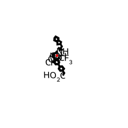 CN(C[C@H](O)CNC(C)(C)CC1Cc2ccccc2C1)S(=O)(=O)c1c(Cl)cc(-c2ccc(CC(=O)O)cc2)cc1OC(F)(F)F